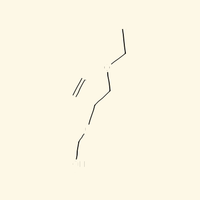 C=C.CCOCCCCO